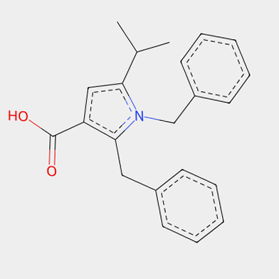 CC(C)c1cc(C(=O)O)c(Cc2ccccc2)n1Cc1ccccc1